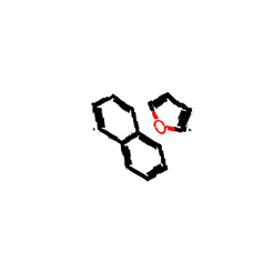 [c]1cccc2ccccc12.[c]1ccco1